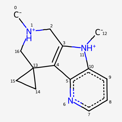 [CH2-][NH+]1CC2=C(c3ncccc3[NH+]2[CH2-])C2(CC2)C1